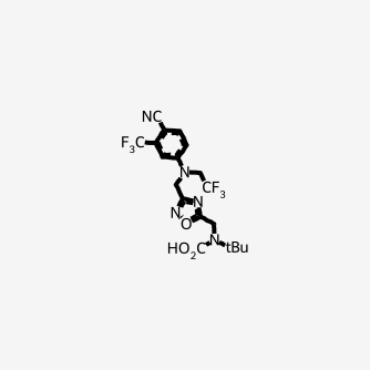 CC(C)(C)N(Cc1nc(CN(CC(F)(F)F)c2ccc(C#N)c(C(F)(F)F)c2)no1)C(=O)O